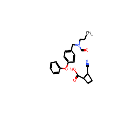 CCCN(C=O)Cc1ccc(Oc2ccccc2)cc1.N#CC1CCC1C(=O)O